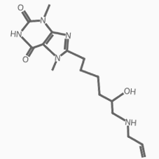 C=CCNCC(O)CCCCc1nc2c(c(=O)[nH]c(=O)n2C)n1C